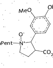 CCCCC[N+]1([O-])CCC(C(=O)O)C1c1ccc(O)c(OC)c1